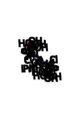 CC(C)NCCC(=O)Nc1cc(/C=C/C(=O)N2C[C@@H](CCl)c3c2cc(O[C@@H]2O[C@H](CO)[C@H](O)[C@H](O)[C@H]2O)c2ccccc32)ccc1/C=C/C(=O)N1C[C@@H](CCl)c2c1cc(O[C@@H]1O[C@H](CO)[C@H](O)[C@H](O)[C@H]1O)c1ccccc21